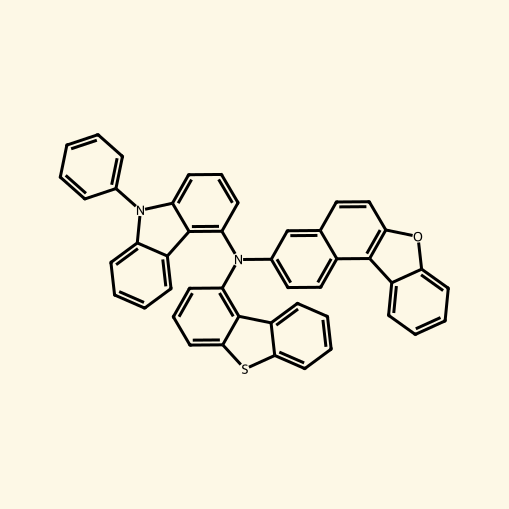 c1ccc(-n2c3ccccc3c3c(N(c4ccc5c(ccc6oc7ccccc7c65)c4)c4cccc5sc6ccccc6c45)cccc32)cc1